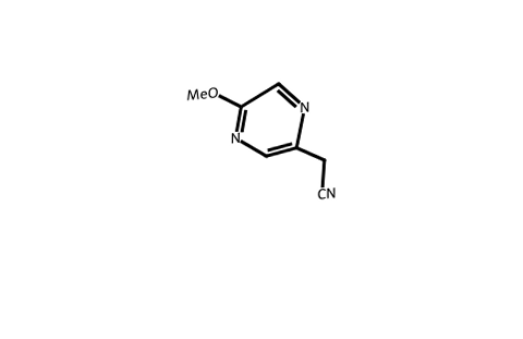 COc1cnc(CC#N)cn1